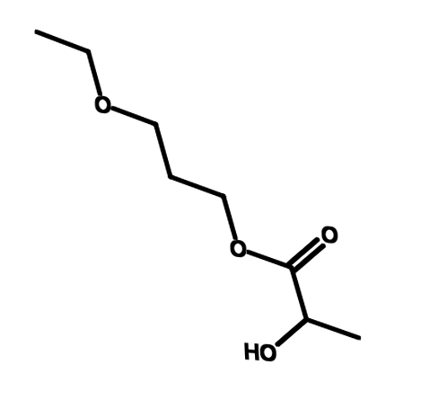 CCOCCCOC(=O)C(C)O